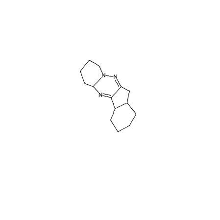 C1CCC2C3=NC4CCCCN4N=C3CC2C1